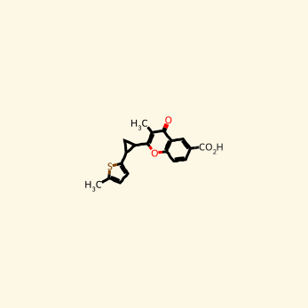 Cc1ccc(C2CC2c2oc3ccc(C(=O)O)cc3c(=O)c2C)s1